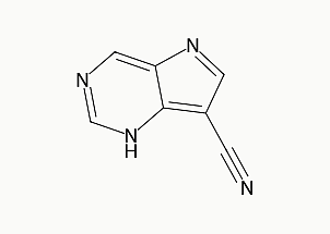 N#Cc1cnc2cnc[nH]c1-2